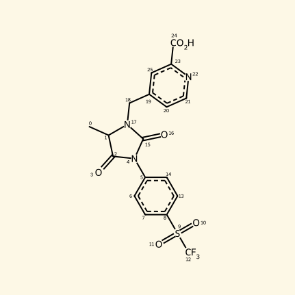 CC1C(=O)N(c2ccc(S(=O)(=O)C(F)(F)F)cc2)C(=O)N1Cc1ccnc(C(=O)O)c1